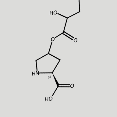 CCC(O)C(=O)OC1CN[C@H](C(=O)O)C1